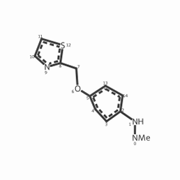 CNNc1ccc(OCc2nccs2)cc1